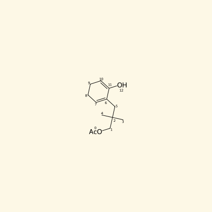 CC(=O)OCC(C)(C)CC1=CCCC=C1O